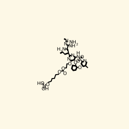 C=C\C=C(/C=C(N)/C(=N/N=C)NN)c1nc(NS(=O)(=O)c2ccc(C)cn2)c(Oc2ccccc2OC)c(OCCOC(=O)OCCCCCCON(O)O)n1